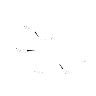 CO[C@H]1O[C@H](COC(C)=O)[C@@H](OC(C)=O)[C@H](OC(C)=O)[C@H]1OC